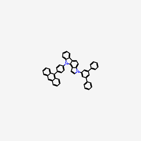 c1ccc(-c2cc(-c3ccccc3)cc(-n3ccc4c3ccc3c5ccccc5n(-c5ccc(-c6c7ccccc7cc7ccccc67)cc5)c34)c2)cc1